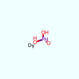 O=[PH](O)O.[Dy]